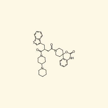 O=C1Nc2ccccc2C2(CCN(C(=O)C[C@H](Cc3csc4ccccc34)C(=O)N3CCC(N4CCCCC4)CC3)CC2)O1